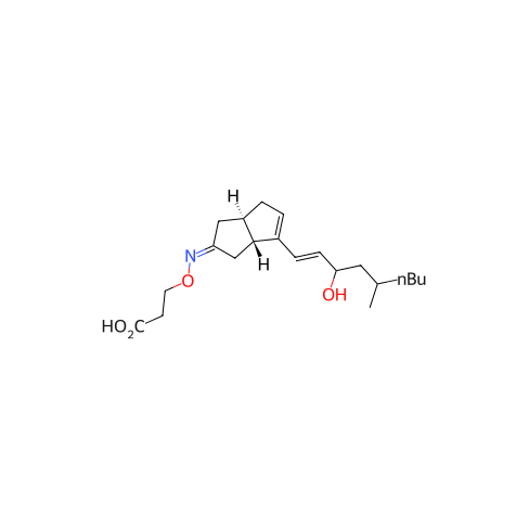 CCCCC(C)CC(O)C=CC1=CC[C@@H]2C/C(=N/OCCC(=O)O)C[C@@H]12